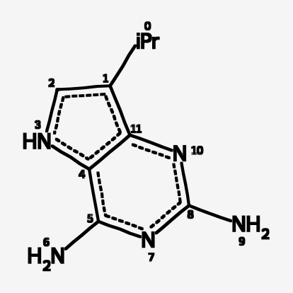 CC(C)c1c[nH]c2c(N)nc(N)nc12